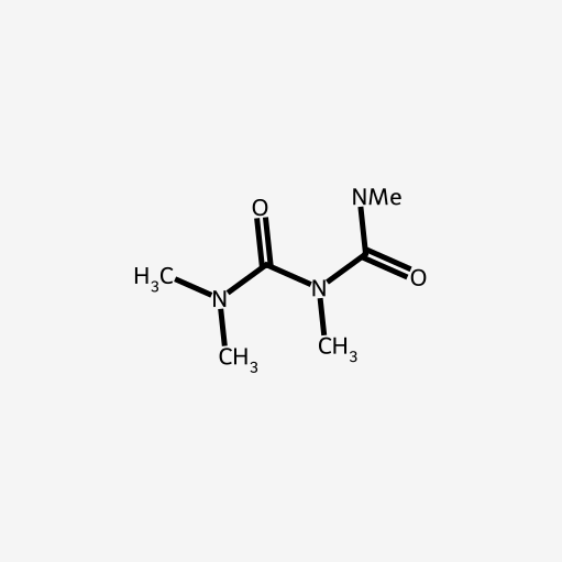 CNC(=O)N(C)C(=O)N(C)C